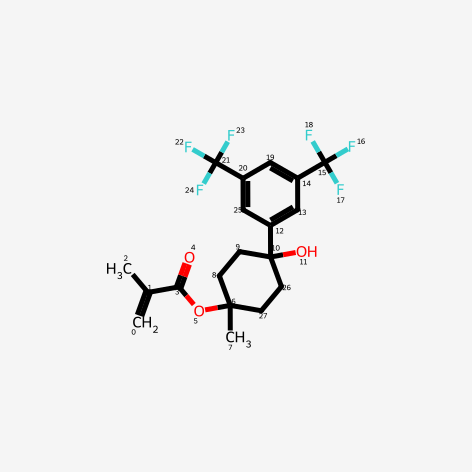 C=C(C)C(=O)OC1(C)CCC(O)(c2cc(C(F)(F)F)cc(C(F)(F)F)c2)CC1